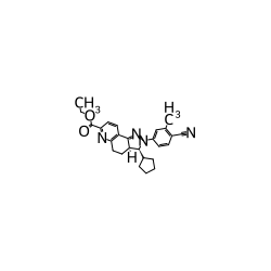 CCOC(=O)c1ccc2c(n1)CC[C@H]1C2=NN(c2ccc(C#N)c(C)c2)[C@H]1C1CCCC1